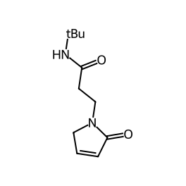 CC(C)(C)NC(=O)CCN1CC=CC1=O